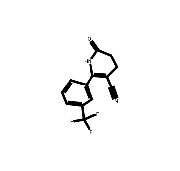 N#CC1=C(c2cccc(C(F)(F)F)c2)NC(=O)CC1